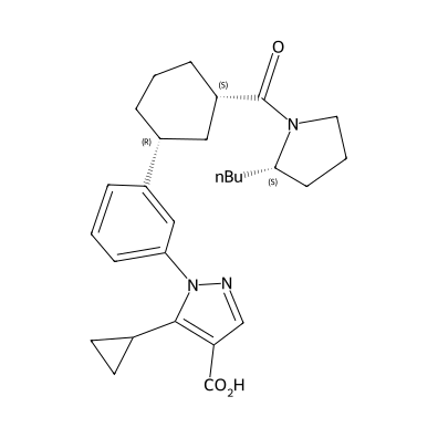 CCCC[C@H]1CCCN1C(=O)[C@H]1CCC[C@@H](c2cccc(-n3ncc(C(=O)O)c3C3CC3)c2)C1